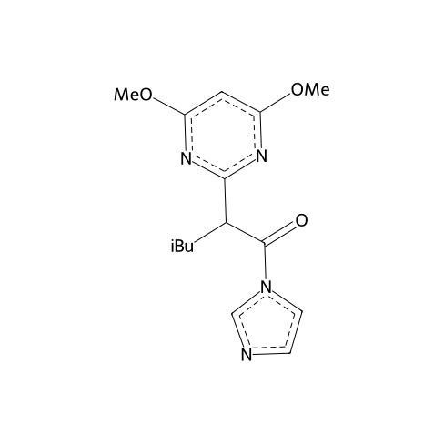 CCC(C)C(C(=O)n1ccnc1)c1nc(OC)cc(OC)n1